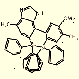 COc1cc2c(cc1C)[Si](c1ccccc1)(c1ccccc1)[Si](c1ccccc1)(c1ccccc1)c1cc(C)c3nc[nH]c3c1-2